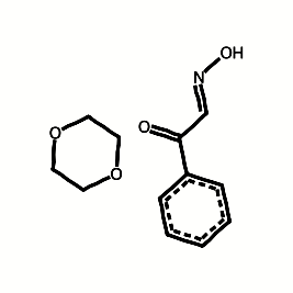 C1COCCO1.O=C(C=NO)c1ccccc1